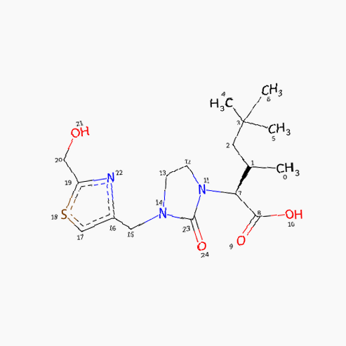 CC(CC(C)(C)C)[C@@H](C(=O)O)N1CCN(Cc2csc(CO)n2)C1=O